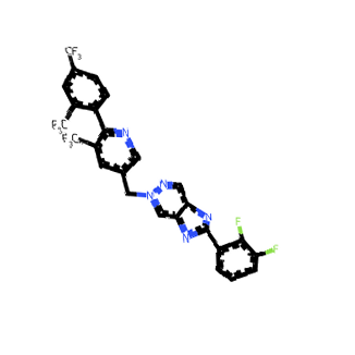 Fc1cccc(-c2nc3cnn(Cc4cnc(-c5ccc(C(F)(F)F)cc5C(F)(F)F)c(C(F)(F)F)c4)cc-3n2)c1F